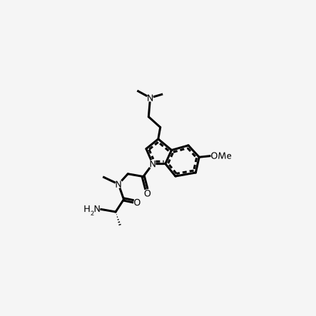 COc1ccc2c(c1)c(CCN(C)C)cn2C(=O)CN(C)C(=O)[C@H](C)N